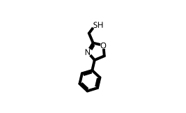 SCC1=NC(c2ccccc2)CO1